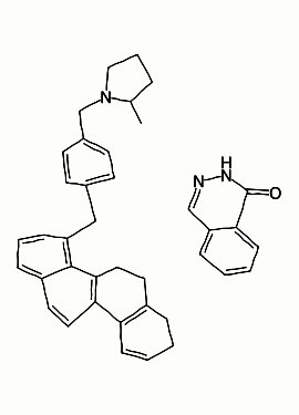 CC1CCCN1Cc1ccc(Cc2cccc3ccc4c(c23)CCC2=C4C=CCC2)cc1.O=c1[nH]ncc2ccccc12